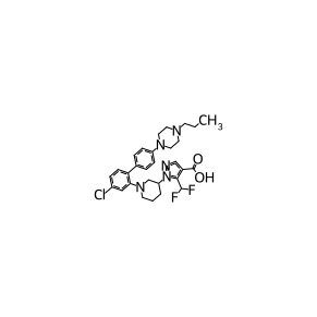 CCCN1CCN(c2ccc(-c3ccc(Cl)cc3N3CCCC(n4ncc(C(=O)O)c4C(F)F)C3)cc2)CC1